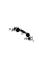 N=C(N)Nc1ccc(OCCC(=O)CCOc2ccc(NC(=N)N)cc2)cc1